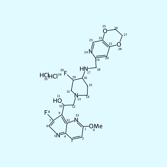 COc1ccc2ncc(F)c(C(O)CN3CCC(NCc4cc5c(cn4)OCCO5)C(F)C3)c2n1.Cl.Cl